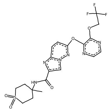 CC1(NC(=O)c2cn3nc(Oc4nccnc4OCC(F)(F)F)ccc3n2)CCS(=O)(=O)CC1